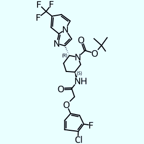 CC(C)(C)OC(=O)N1C[C@@H](NC(=O)COc2ccc(Cl)c(F)c2)CC[C@@H]1c1cn2ccc(C(F)(F)F)cc2n1